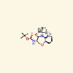 BC(B)(B)N1C(=O)[C@@H](NC(=O)OC(C)(C)C)COc2cccnc21